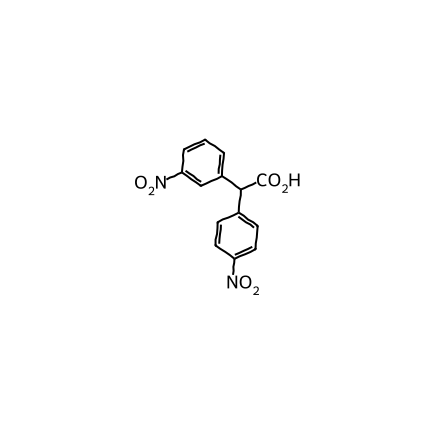 O=C(O)C(c1ccc([N+](=O)[O-])cc1)c1cccc([N+](=O)[O-])c1